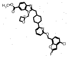 COC(=O)c1ccc2nc(CC3CCC(c4cccc(OCc5ccc(Cl)c6cc(F)oc56)n4)CC3)n(C[C@@H]3CCO3)c2c1